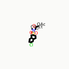 CCOC(=O)CN(CC(=O)COC(C)=O)S(=O)(=O)c1ccc2cc(Cl)ccc2c1